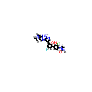 CNc1ncc(-c2cc(F)cc(-c3ccc(-n4ccn(C)c4=O)c(Cl)c3)c2O)cc1N1CCC2(CCN2C(C)C)C1